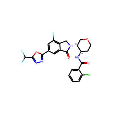 O=C(N[C@@H]1CCOC[C@H]1N1Cc2c(F)cc(-c3nnc(C(F)F)o3)cc2C1=O)c1ccccc1Cl